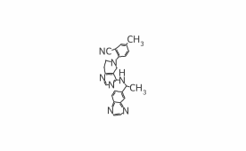 Cc1ccc(N2CCc3ncnc(NC(C)c4ccc5nccnc5c4)c3C2)c(C#N)c1